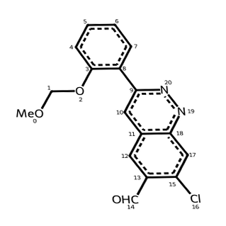 COCOc1ccccc1-c1cc2cc(C=O)c(Cl)cc2nn1